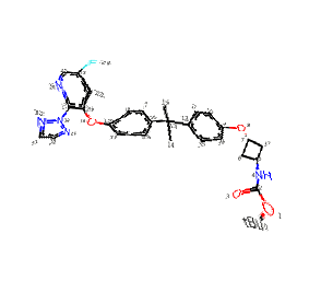 CC(C)(C)OC(=O)N[C@H]1C[C@H](Oc2ccc(C(C)(C)c3ccc(Oc4cc(F)cnc4-n4nccn4)cc3)cc2)C1